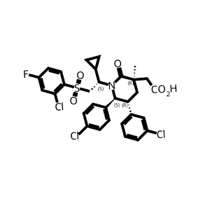 C[C@]1(CC(=O)O)C[C@H](c2cccc(Cl)c2)[C@@H](c2ccc(Cl)cc2)N([C@H](CS(=O)(=O)c2ccc(F)cc2Cl)C2CC2)C1=O